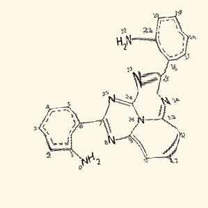 Nc1ccccc1C1=NC2=CC=CC3=NC(c4ccccc4N)=NC(=N1)N23